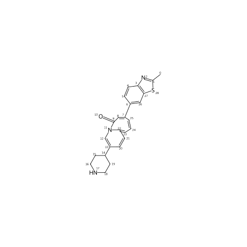 Cc1nc2ccc(C3=C\C(=O)N4C=C(C5CCNCC5)C=C\C4=C/C=C/3)cc2s1